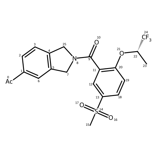 CC(=O)c1ccc2c(c1)CN(C(=O)c1cc(S(C)(=O)=O)ccc1O[C@@H](C)C(F)(F)F)C2